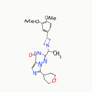 COc1ccc(C2CN(C(C)c3nn4c(C5CCOCC5)ncc4c(=O)[nH]3)C2)cc1OC